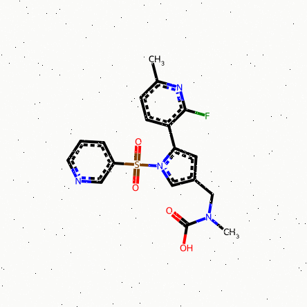 Cc1ccc(-c2cc(CN(C)C(=O)O)cn2S(=O)(=O)c2cccnc2)c(F)n1